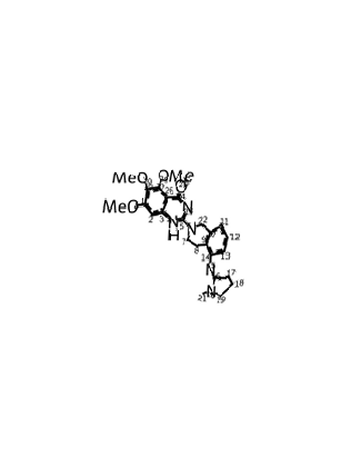 COc1cc2[nH]c(N3CCc4c(cccc4/N=C4\CCCN4C)C3)nc(=O)c2c(OC)c1OC